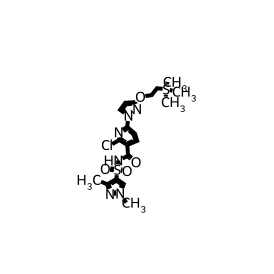 Cc1nn(C)cc1S(=O)(=O)NC(=O)c1ccc(-n2ccc(OCCS(C)(C)C)n2)nc1Cl